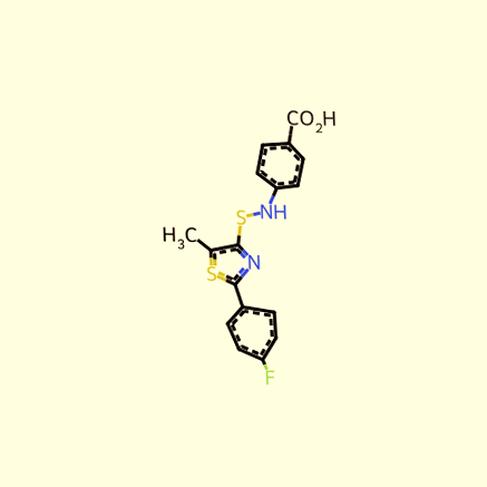 Cc1sc(-c2ccc(F)cc2)nc1SNc1ccc(C(=O)O)cc1